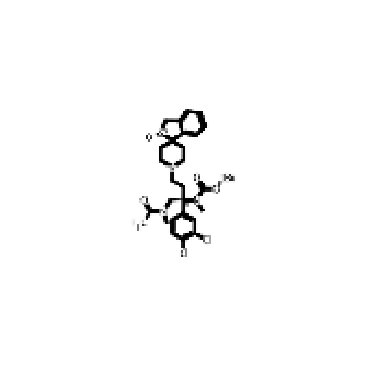 CN(C[C@](CCN1CCC2(CC1)c1ccccc1C[S+]2[O-])(c1ccc(Cl)c(Cl)c1)N(C)C(=O)OC(C)(C)C)C(=O)C(F)(F)F